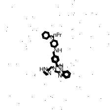 CCCN(C1CCCCC1)C1CCC(NCc2ccc(C(=O)N(Cc3ncc[nH]3)Cc3nc4ccccc4[nH]3)cc2)CC1